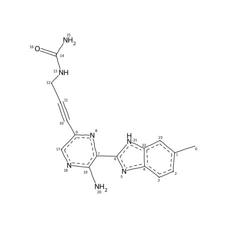 Cc1ccc2nc(-c3nc(C#CCNC(N)=O)cnc3N)[nH]c2c1